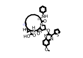 COc1ccc2nc(O[C@@H]3C[C@H]4C(=O)N[C@]5(C(=O)O)C[C@H]5/C=C\CCCCC[C@H](Nc5ccccc5)C(=O)N4C3)c(-c3cccs3)nc2c1